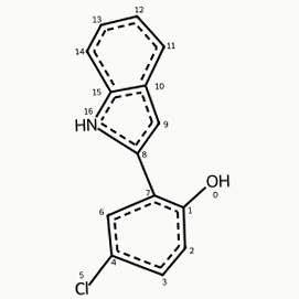 Oc1ccc(Cl)cc1-c1cc2ccccc2[nH]1